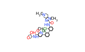 COc1nc(-c2cccc(-c3cccc(NC(=O)c4nc5c(n4C)CCN(C)C5)c3Cl)c2Cl)ccc1CN[C@@H]1COC[C@H]1O